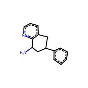 NC1CC(c2ccccc2)Cc2cccnc21